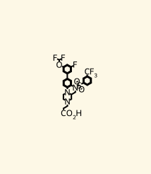 O=C(O)CCN1CCN2c3ccc(-c4cc(F)cc(OC(F)F)c4)cc3N(S(=O)(=O)c3cccc(C(F)(F)F)c3)CC2C1